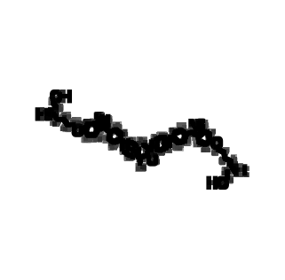 CCN(CCO)CCCCOc1ccc2c(-c3ccc(N4CCN(C(C)C(=O)C(C)N5CCN(c6ccc(-c7nsc8cc(OCCCCN(CC)CCO)ccc78)cc6)CC5)CC4)cc3)nsc2c1